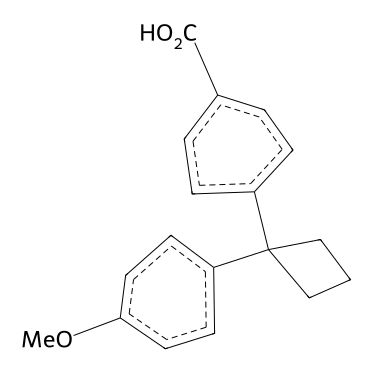 COc1ccc(C2(c3ccc(C(=O)O)cc3)CCC2)cc1